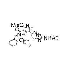 COc1nc(C)c(-c2ccc3nc(NC(C)=O)cn3n2)cc1C(=O)NCc1ccccc1OC(F)(F)F